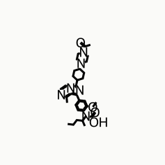 CCCC(C)N(C(=O)O)c1ccc(-c2nc(C3CCC(N4CCN(C(C)=O)CC4)CC3)n3ccnc(C)c23)cc1OC